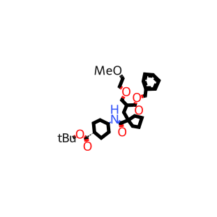 COCCOCC(CC1(C(=O)N[C@H]2CC[C@@H](C(=O)OC(C)(C)C)CC2)CCCC1)C(=O)OCc1ccccc1